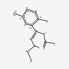 C=C(C)S/C(=C\C(C)CC)c1cc(Cl)ccc1C